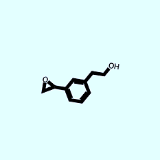 OCCc1cccc(C2CO2)c1